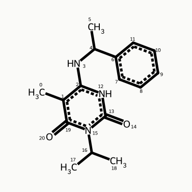 Cc1c(NC(C)c2ccccc2)[nH]c(=O)n(C(C)C)c1=O